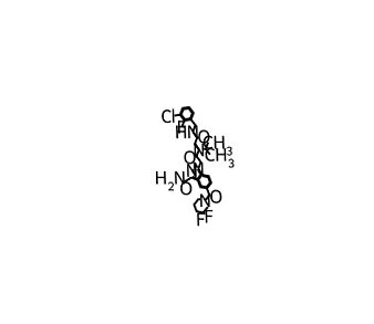 CC(C)N(CC(=O)NCc1cccc(Cl)c1F)C(=O)Cn1nc(C(N)=O)c2cc(C(=O)N3CCCC(F)(F)C3)ccc21